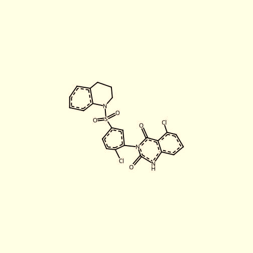 O=c1[nH]c2cccc(Cl)c2c(=O)n1-c1cc(S(=O)(=O)N2CCCc3ccccc32)ccc1Cl